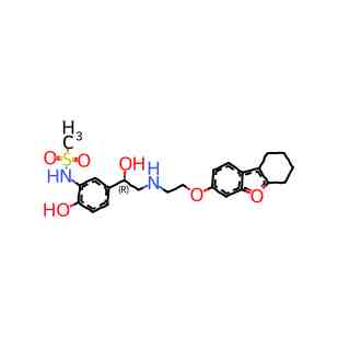 CS(=O)(=O)Nc1cc([C@@H](O)CNCCOc2ccc3c4c(oc3c2)CCCC4)ccc1O